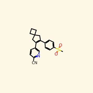 CS(=O)(=O)c1ccc(C2=C(c3ccc(C#N)nc3)CC3(CCC3)C2)cc1